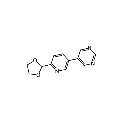 c1ncc(-c2ccc(C3OCCO3)nc2)cn1